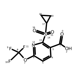 O=C(O)c1ccc(OC(F)(F)F)nc1S(=O)(=O)C1CC1